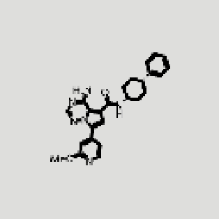 COc1cc(-c2cc(C(=O)N[C@H]3CC[C@@H](c4ccccc4)CC3)c3c(N)ncnn23)ccn1